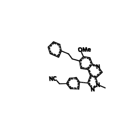 COc1cc2ncc3c(c(-c4ccc(CC#N)cc4)nn3C)c2cc1CCc1ccccc1